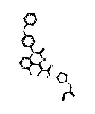 C=CC(=C)N[C@H]1CC[C@@H](NC(=O)/C(C)=C2\NC(=C)N(c3ccc(Oc4ccccc4)cc3)c3ccnc(C)c32)C1